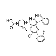 Cc1ccccc1-c1c(N)nc(N2CCN(C(=O)O)C[C@@H]2C)c2cc(Cl)c(-c3ccccc3F)nc12